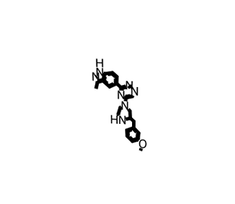 COc1cccc(CC2CN(c3cnnc(-c4ccc5[nH]nc(C)c5c4)n3)CCN2)c1